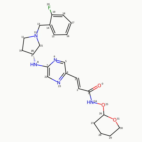 O=C(C=Cc1cnc(N[C@@H]2CCN(Cc3ccccc3F)C2)cn1)NOC1CCCCO1